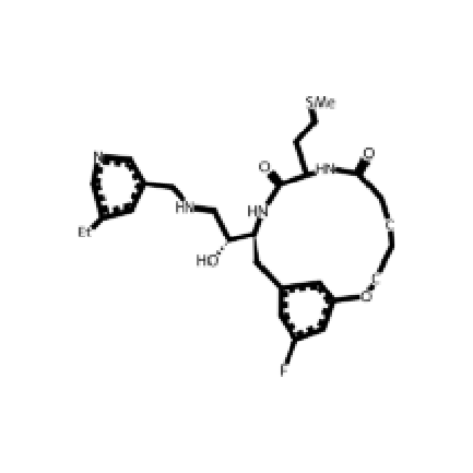 CCc1cncc(CNC[C@@H](O)[C@@H]2Cc3cc(F)cc(c3)OCCCCC(=O)NC(CCSC)C(=O)N2)c1